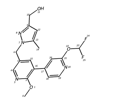 COc1ncc(Cn2nc(CO)cc2C)cc1-c1ccnc(OC(F)F)c1